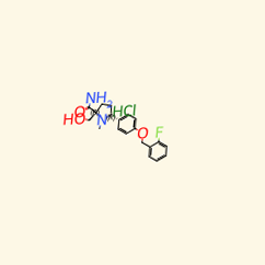 CN1[C@@H](c2ccc(OCc3ccccc3F)cc2)CC[C@@]1(CO)C(N)=O.Cl